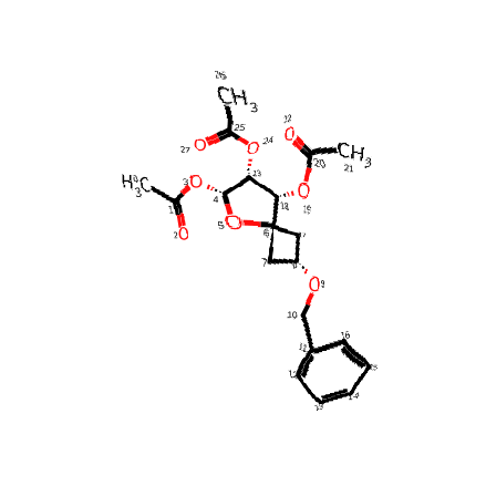 CC(=O)O[C@H]1O[C@]2(C[C@@H](OCc3ccccc3)C2)[C@@H](OC(C)=O)[C@H]1OC(C)=O